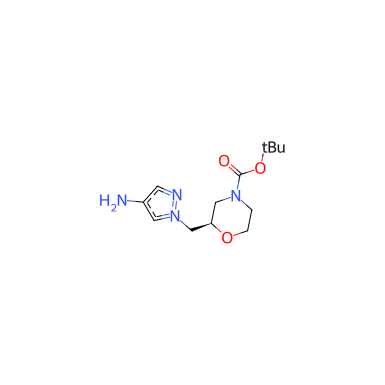 CC(C)(C)OC(=O)N1CCO[C@@H](Cn2cc(N)cn2)C1